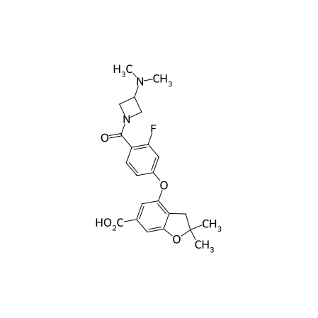 CN(C)C1CN(C(=O)c2ccc(Oc3cc(C(=O)O)cc4c3CC(C)(C)O4)cc2F)C1